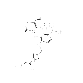 C=CC(=O)N1CC(COc2ccc([C@H](C)NC3N=CC4=C(N3)N(C(C)C)C(=O)OC4)cc2)C1